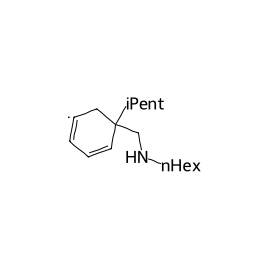 CCCCCCNCC1(C(C)CCC)C=CC=[C]C1